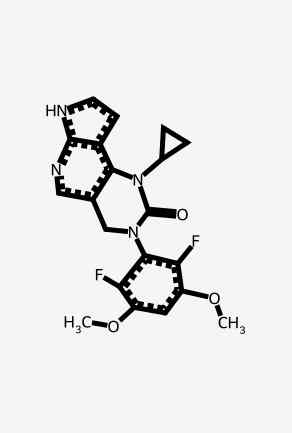 COc1cc(OC)c(F)c(N2Cc3cnc4[nH]ccc4c3N(C3CC3)C2=O)c1F